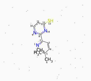 C/N=C(\C=C/C(C)C)c1nccc(S)n1